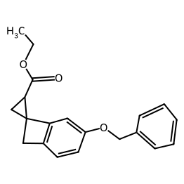 CCOC(=O)C1CC12Cc1ccc(OCc3ccccc3)cc12